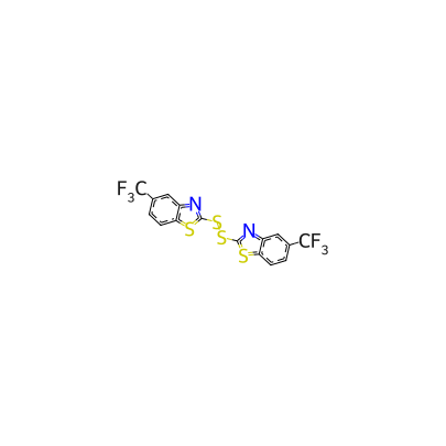 FC(F)(F)c1ccc2sc(SSc3nc4cc(C(F)(F)F)ccc4s3)nc2c1